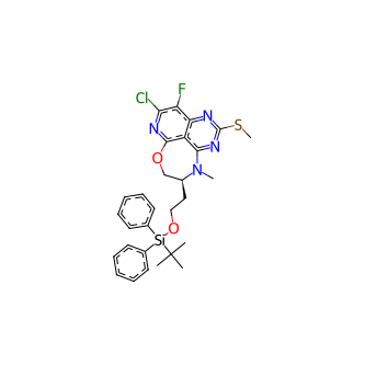 CSc1nc2c3c(nc(Cl)c(F)c3n1)OC[C@H](CCO[Si](c1ccccc1)(c1ccccc1)C(C)(C)C)N2C